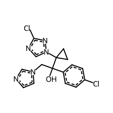 OC(Cn1ccnc1)(c1ccc(Cl)cc1)C1(n2cnc(Cl)n2)CC1